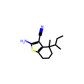 CCC(C)C1(C)CCCc2sc(N)c(C#N)c21